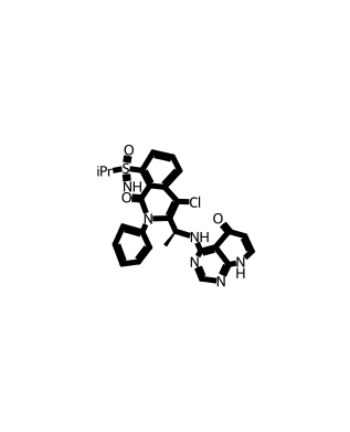 CC(C)S(=N)(=O)c1cccc2c(Cl)c([C@H](C)Nc3ncnc4[nH]ccc(=O)c34)n(-c3ccccc3)c(=O)c12